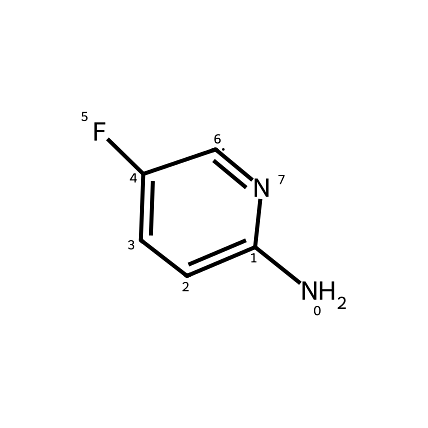 Nc1ccc(F)[c]n1